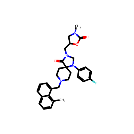 Cc1cccc2cccc(CN3CCC4(CC3)C(=O)N(CC3CN(C)C(=O)O3)CN4c3ccc(F)cc3)c12